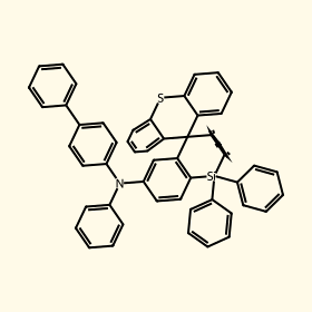 c1ccc(-c2ccc(N(c3ccccc3)c3ccc4c(c3)C3(c5ccccc5Sc5ccccc53)c3ccccc3[Si]4(c3ccccc3)c3ccccc3)cc2)cc1